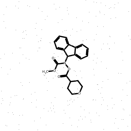 COC(=O)N(OC(=O)C1CCOCC1)C1c2ccccc2-c2ccccc21